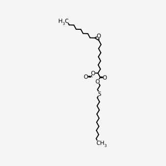 CCCCCCCCCCCCSCCOC(=O)C(CCCCCCCC1OC1CCCCCCCC)O[C]=O